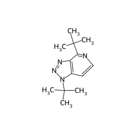 CC(C)(C)c1nccc2c1nnn2C(C)(C)C